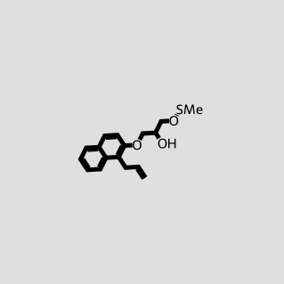 C=CCc1c(OCC(O)COSC)ccc2ccccc12